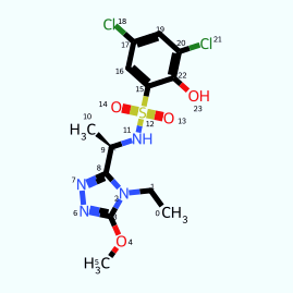 CCn1c(OC)nnc1[C@@H](C)NS(=O)(=O)c1cc(Cl)cc(Cl)c1O